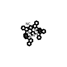 N#Cc1ccc(-c2c(-n3c4ccccc4c4c5ccccc5ccc43)c(-n3c4ccccc4c4c5ccccc5ccc43)nc(-n3c4ccccc4c4c5ccccc5ccc43)c2-n2c3ccccc3c3c4ccccc4ccc32)cc1